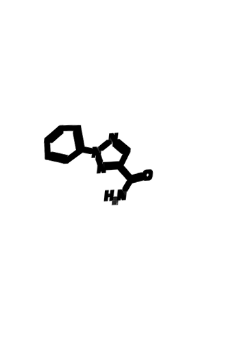 NC(=O)c1cnn(-c2ccccc2)n1